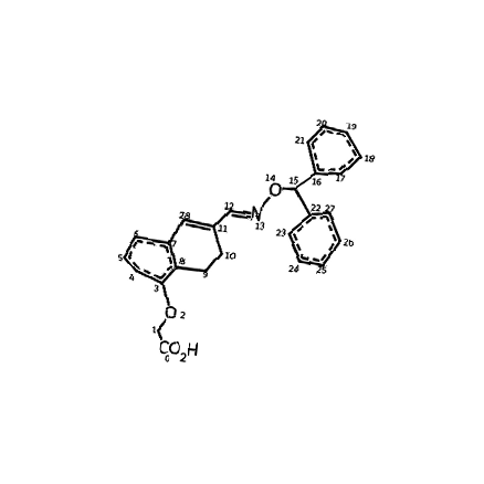 O=C(O)COc1cccc2c1CCC(/C=N/OC(c1ccccc1)c1ccccc1)=C2